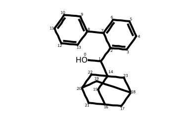 OC(c1ccccc1-c1ccccc1)C12CC3CC(CC(C3)C1)C2